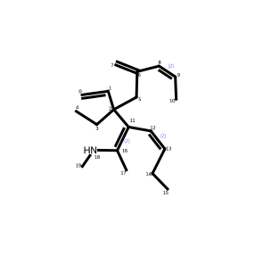 C=CC(CC)(CC(=C)/C=C\C)C(/C=C\CC)=C(/C)NC